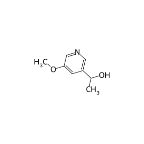 COc1cncc(C(C)O)c1